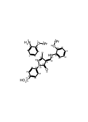 CCCOc1ccccc1N.CCCOc1ccccc1NC=C1C(=O)N(c2ccc(C(=O)O)cc2)N=C1C